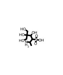 CC(N)C(C(O)C(O)(CO)CO)S(=O)(=O)O